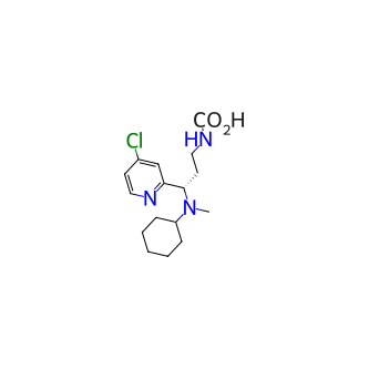 CN(C1CCCCC1)[C@@H](CCNC(=O)O)c1cc(Cl)ccn1